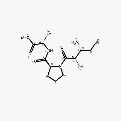 COC(=O)[C@@H](NC(=O)[C@@H]1CCCN1C(=O)[C@@H](O)[C@H](N)CC(C)C)C(C)C